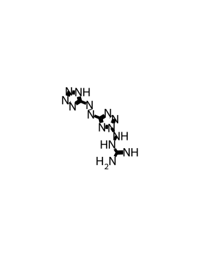 N=C(N)NNn1nnc(N=Nc2nnn[nH]2)n1